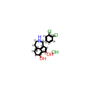 Cl.OC1=CC2=C3C1=C(O)CC[C@@H]3CCN[C@@H]2c1ccc(Cl)c(Cl)c1